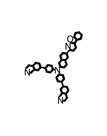 c1ccc2c(c1)oc1nc(-c3ccc4cc(N(c5ccc(-c6ccc7ccncc7c6)cc5)c5ccc(-c6ccc7ccncc7c6)cc5)ccc4c3)ccc12